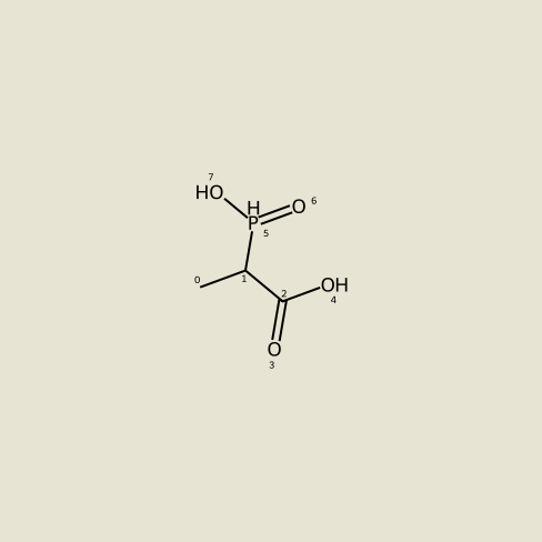 CC(C(=O)O)[PH](=O)O